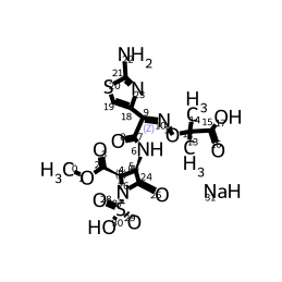 COC(=O)[C@H]1[C@@H](NC(=O)/C(=N\OC(C)(C)C(=O)O)c2csc(N)n2)C(=O)N1S(=O)(=O)O.[NaH]